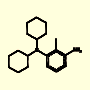 Cc1c(N)cccc1N(C1CCCCC1)C1CCCCC1